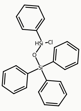 Cl[SiH](O[Si](c1ccccc1)(c1ccccc1)c1ccccc1)c1ccccc1